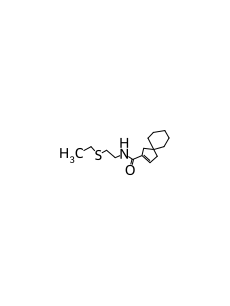 CCSCCNC(=O)C1=CCC2(CCCCC2)C1